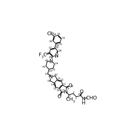 CC(CCC(=O)NC=O)N1C(=O)c2cc3c(cc2C1=O)CN(CC1CCN(c2ncc(-c4cccc(Cl)c4)cc2C(F)(F)F)CC1)C3